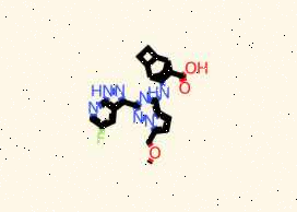 COCc1ccc2c(NC3C4CCC(C5CCC54)C3C(=O)O)nc(-c3n[nH]c4ncc(F)cc34)nn12